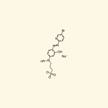 CCCN(CCCS(=O)(=O)[O-])c1ccc(N=Nc2ccc(Br)cn2)c(O)c1.[Na+]